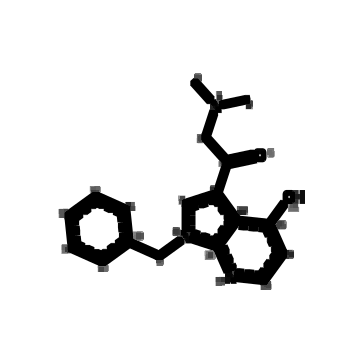 CN(C)CC(=O)c1cn(Cc2ccccc2)c2nccc(O)c12